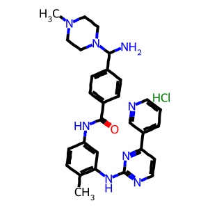 Cc1ccc(NC(=O)c2ccc(C(N)N3CCN(C)CC3)cc2)cc1Nc1nccc(-c2cccnc2)n1.Cl